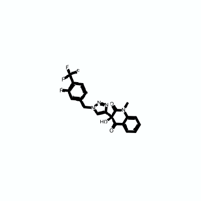 CN1C(=O)C(O)(c2cn(Cc3ccc(C(F)(F)F)c(F)c3)nn2)C(=O)c2ccccc21